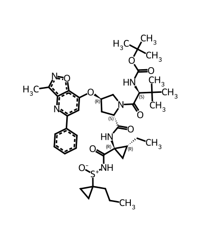 CCCC1([S+]([O-])NC(=O)[C@@]2(NC(=O)[C@@H]3C[C@@H](Oc4cc(-c5ccccc5)nc5c(C)noc45)CN3C(=O)[C@@H](NC(=O)OC(C)(C)C)C(C)(C)C)C[C@H]2CC)CC1